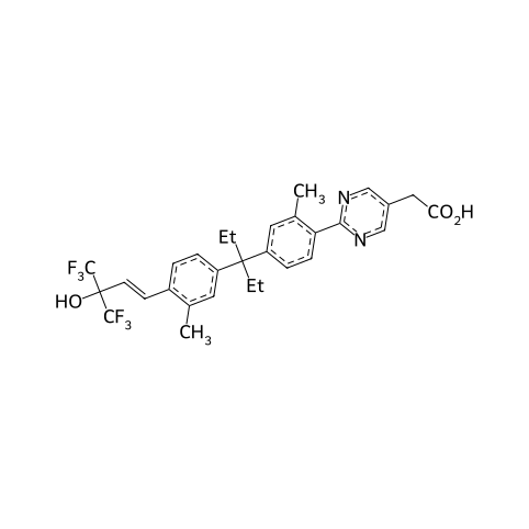 CCC(CC)(c1ccc(C=CC(O)(C(F)(F)F)C(F)(F)F)c(C)c1)c1ccc(-c2ncc(CC(=O)O)cn2)c(C)c1